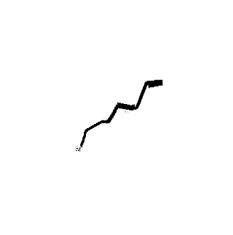 [CH]=C/C=C/CCBr